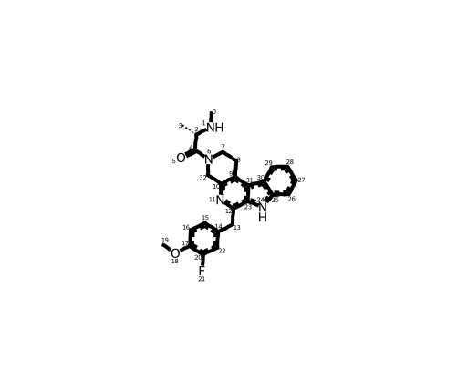 CN[C@@H](C)C(=O)N1CCc2c(nc(Cc3ccc(OC)c(F)c3)c3[nH]c4ccccc4c23)C1